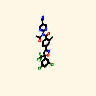 CC(=O)N(C(=O)c1ccc(C2=NOC(c3cc(Cl)cc(Cl)c3)(C(F)(F)F)C2)cc1C)c1ncc(C#N)cn1